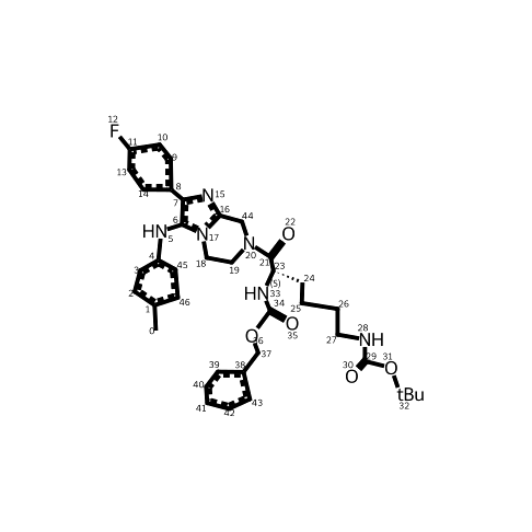 Cc1ccc(Nc2c(-c3ccc(F)cc3)nc3n2CCN(C(=O)[C@H](CCCCNC(=O)OC(C)(C)C)NC(=O)OCc2ccccc2)C3)cc1